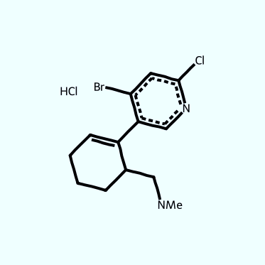 CNCC1CCCC=C1c1cnc(Cl)cc1Br.Cl